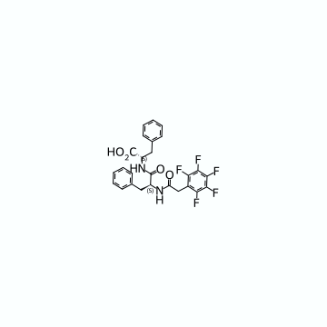 O=C(Cc1c(F)c(F)c(F)c(F)c1F)N[C@@H](Cc1ccccc1)C(=O)N[C@@H](Cc1ccccc1)C(=O)O